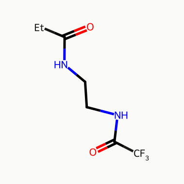 CCC(=O)NCCNC(=O)C(F)(F)F